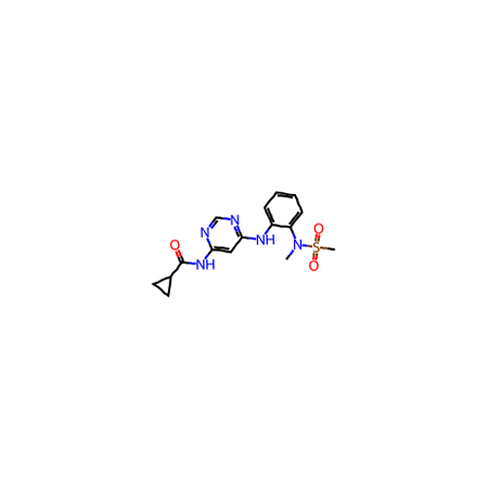 CN(c1ccccc1Nc1cc(NC(=O)C2CC2)ncn1)S(C)(=O)=O